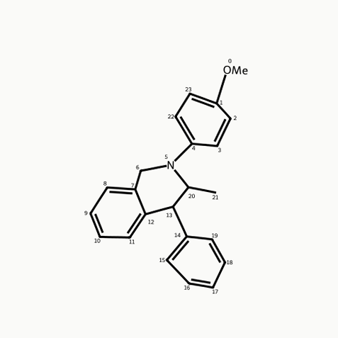 COc1ccc(N2Cc3ccccc3C(c3ccccc3)C2C)cc1